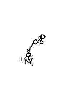 CN(C)C(=O)c1ccc(OCCCCC2CCN(C(=O)C3(c4ccccc4)CCCO3)CC2)cc1Cl